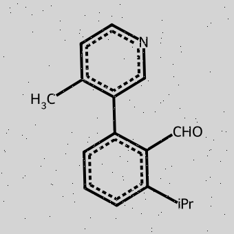 Cc1ccncc1-c1cccc(C(C)C)c1C=O